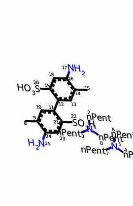 CCCCCN(CCCCC)CCCCC.CCCCCN(CCCCC)CCCCC.Cc1cc(-c2cc(C)c(N)cc2S(=O)(=O)O)c(S(=O)(=O)O)cc1N